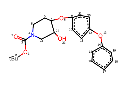 CC(C)(C)OC(=O)N1CCC(Oc2ccc(Oc3ccccc3)cc2)C(O)C1